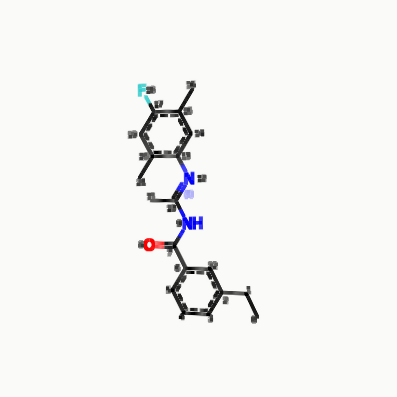 CCc1cccc(C(=O)N/C(C)=N/c2cc(C)c(F)cc2C)c1